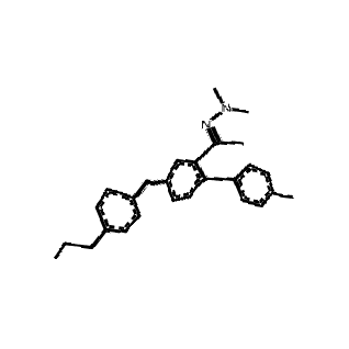 CCCc1ccc(Cc2ccc(-c3ccc(C)cc3)c(/C(C)=N/N(C)C)c2)cc1